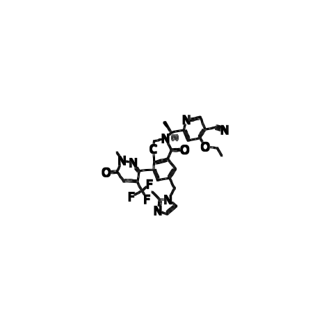 CCOc1cc([C@H](C)N2CCc3c(cc(Cn4ccnc4C)cc3-c3nn(C)c(=O)cc3C(F)(F)F)C2=O)ncc1C#N